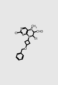 CCC1C(C=O)N(C)c2cnc(Cl)nc2N1C1CC(OCc2ccccc2)C1